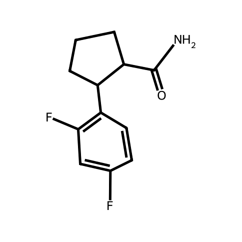 NC(=O)C1CCCC1c1ccc(F)cc1F